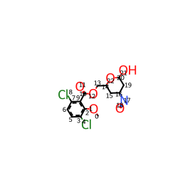 COc1c(Cl)ccc(Cl)c1C(=O)OCC1CC(N=O)CC(O)O1